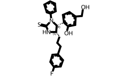 OCc1ccc([C@@H]2[C@H](CCCc3ccc(F)cc3)NC(=S)N2c2ccccc2)c(O)c1